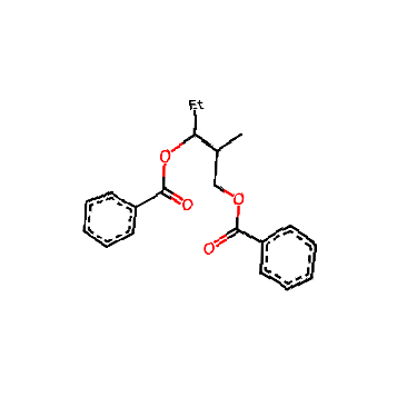 CCC(OC(=O)c1ccccc1)C(C)COC(=O)c1ccccc1